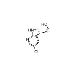 O/N=C\c1c[nH]c2ncc(Cl)cc12